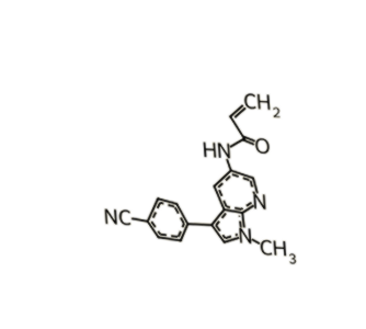 C=CC(=O)Nc1cnc2c(c1)c(-c1ccc(C#N)cc1)cn2C